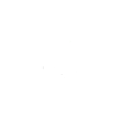 C=C(C)c1ccc(F)cc1C1CC1